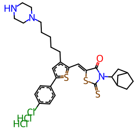 Cl.Cl.O=C1/C(=C/c2sc(-c3ccc(Cl)cc3)cc2CCCCCN2CCNCC2)SC(=S)N1C1CC2CCC1C2